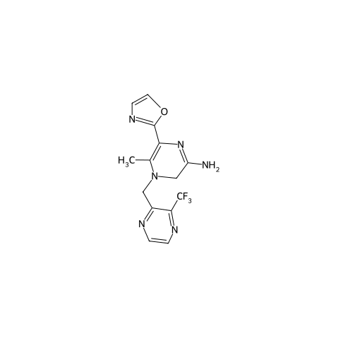 CC1=C(c2ncco2)N=C(N)CN1Cc1nccnc1C(F)(F)F